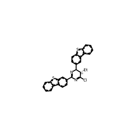 CC[C@@H]1C(Cl)=NC(c2ccc3c(c2)sc2ccccc23)=NC1c1ccc2sc3ccccc3c2c1